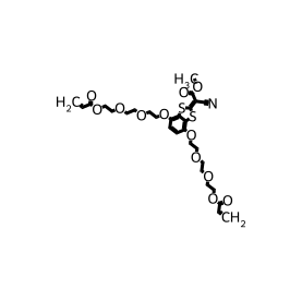 C=CC(=O)OCCOCCOCCOc1ccc(OCCOCCOCCOC(=O)C=C)c2c1SC(=C(C#N)C(=O)OC)S2